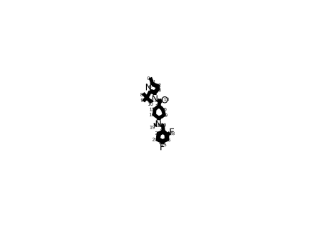 Cc1ccc2c(n1)C(C)(C)CN2C(=O)C1CCC(N(C)Cc2ccc(F)cc2F)CC1